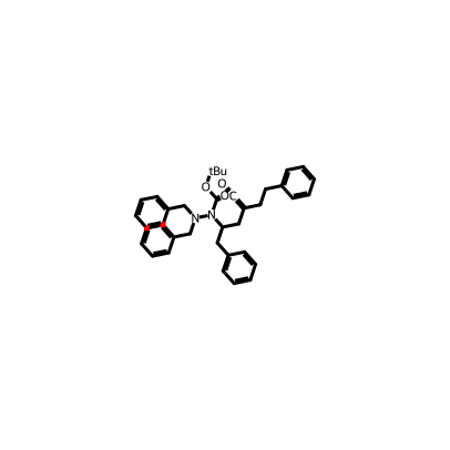 CC(C)(C)OC(=O)N(C(CC(=C=O)CCc1ccccc1)Cc1ccccc1)N(Cc1ccccc1)Cc1ccccc1